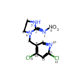 O=[N+]([O-])N=C1NCCN1Cc1cnc(Cl)cc1Cl